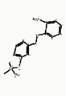 CC(=O)Nc1ccccc1OCc1cccc(O[Si](C)(C)C(C)(C)C)c1